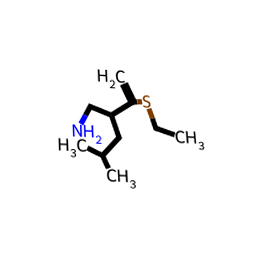 C=C(SCC)C(CN)CC(C)C